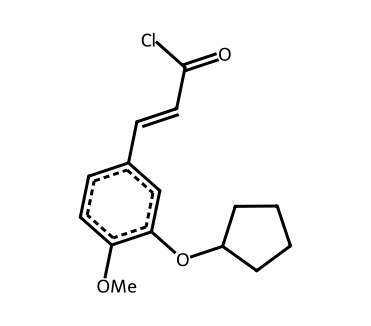 COc1ccc(C=CC(=O)Cl)cc1OC1CCCC1